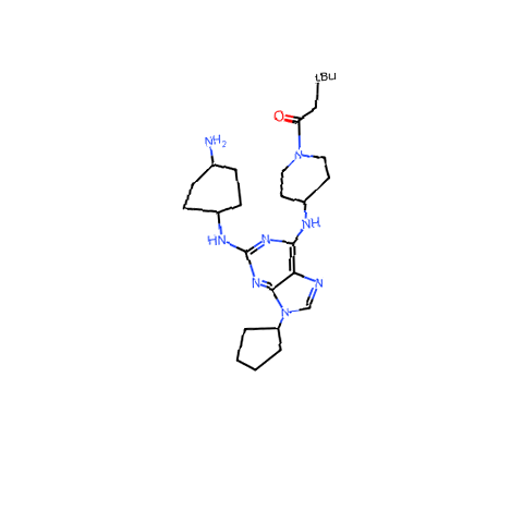 CC(C)(C)CC(=O)N1CCC(Nc2nc(NC3CCC(N)CC3)nc3c2ncn3C2CCCC2)CC1